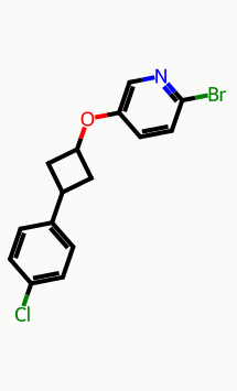 Clc1ccc(C2CC(Oc3ccc(Br)nc3)C2)cc1